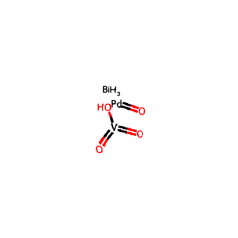 [BiH3].[O]=[Pd].[O]=[V](=[O])[OH]